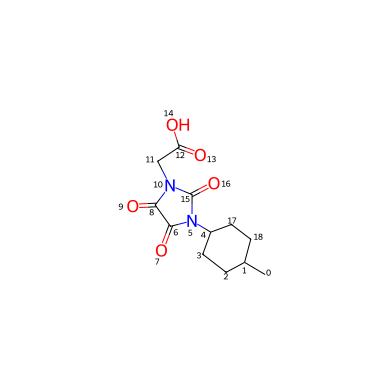 CC1CCC(N2C(=O)C(=O)N(CC(=O)O)C2=O)CC1